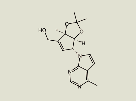 Cc1ncnc2c1ccn2[C@@H]1C=C(CO)[C@@]2(C)OC(C)(C)O[C@@H]12